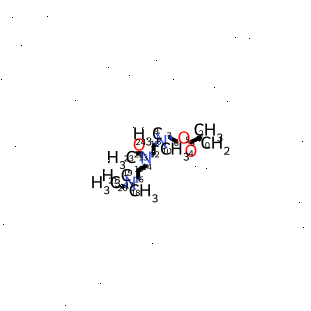 C=C(C)C(=O)OCC[N+](C)(C)CCN(CCC[N+](C)(C)CC)C(C)=O